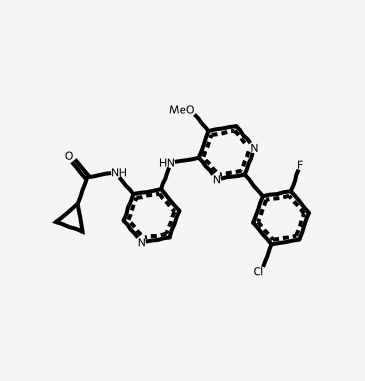 COc1cnc(-c2cc(Cl)ccc2F)nc1Nc1ccncc1NC(=O)C1CC1